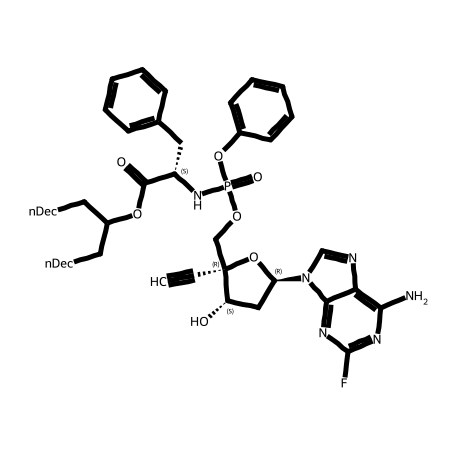 C#C[C@]1(COP(=O)(N[C@@H](Cc2ccccc2)C(=O)OC(CCCCCCCCCCC)CCCCCCCCCCC)Oc2ccccc2)O[C@@H](n2cnc3c(N)nc(F)nc32)C[C@@H]1O